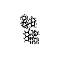 O=C1C(c2ccc3cccc4c3c2NC2(N4)c3ccccc3-c3ncccc32)=C(O)/C1=c1/ccc2cccc3c2c1NC1(N=3)c2ccccc2-c2ncccc21